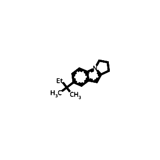 CCC(C)(C)c1ccc2c(c1)cc1n2CCC1